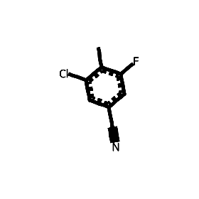 Cc1c(F)cc(C#N)cc1Cl